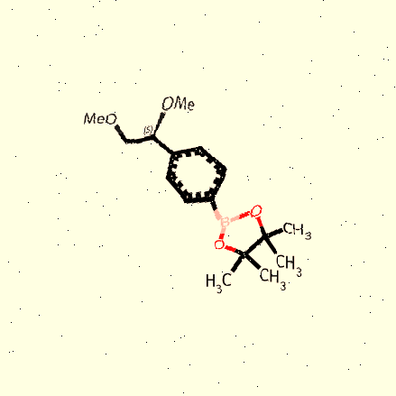 COC[C@@H](OC)c1ccc(B2OC(C)(C)C(C)(C)O2)cc1